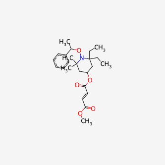 CCC1(CC)CC(OC(=O)/C=C/C(=O)OC)CC(C)(C)N1OC(C)c1ccccc1